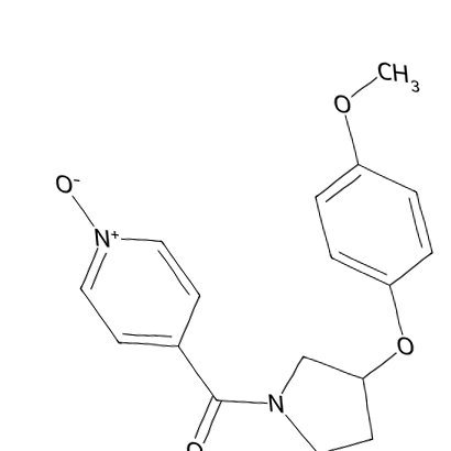 COc1ccc(OC2CCN(C(=O)c3cc[n+]([O-])cc3)C2)cc1